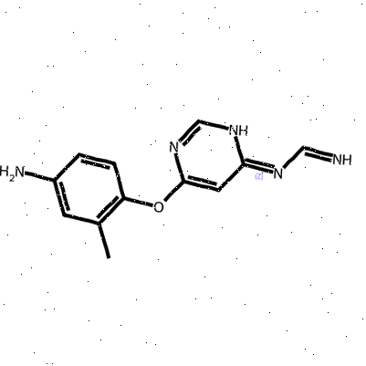 Cc1cc(N)ccc1Oc1c/c(=N/C=N)[nH]cn1